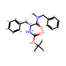 CN(Cc1ccccc1)C(=O)[C@H](Cc1ccccc1)NC(=O)OC(C)(C)C